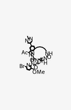 COCc1ccc(Br)nc1NC(=O)[C@@H]1C[C@]23CNC(=O)NCCCCCc4cc(-c5cnc(C)nc5)cc5c(C(C)=O)nn(c45)CC(=O)N1C2[C@@H]3C